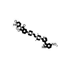 C[C@@H]1CN(c2cc(-c3n[nH]c4ccc([N+](=O)[O-])cc34)ccn2)C[C@H](C)N1CCN1CCN(c2ccc3c(c2)C(=O)N(C2CCC(=O)NC2=O)C3=O)CC1